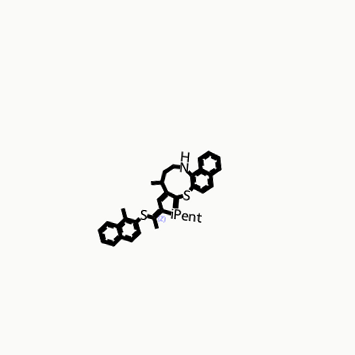 C=C1Sc2ccc3ccccc3c2NCCC(C)C1=C/C(=C(/C)Sc1ccc2ccccc2c1C)C(C)CCC